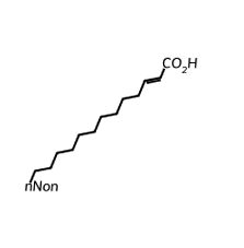 CCCCCCCCCCCCCCCCCCCC=CC(=O)O